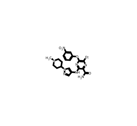 CCc1nc(C(N)=O)c(Nc2cnn(C3CCN(C)CC3)c2)nc1Oc1cccc([N+](=O)[O-])c1